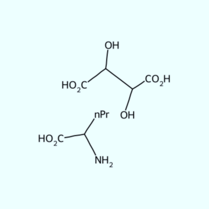 CCCC(N)C(=O)O.O=C(O)C(O)C(O)C(=O)O